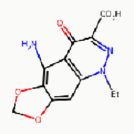 CCn1nc(C(=O)O)c(=O)c2c(N)c3c(cc21)OCO3